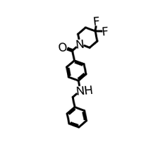 O=C(c1ccc(NCc2ccccc2)cc1)N1CCC(F)(F)CC1